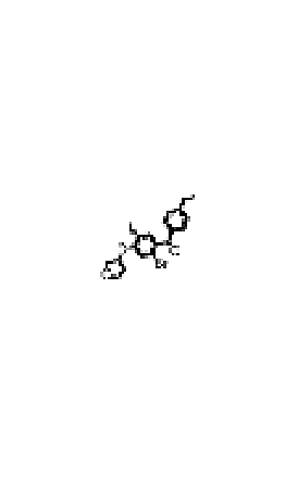 CCc1ccc(C(=O)c2cc(I)c(OC3CCOC3)cc2Br)cc1